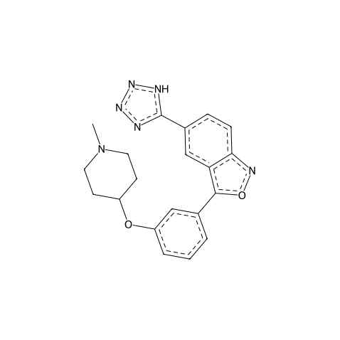 CN1CCC(Oc2cccc(-c3onc4ccc(-c5nnn[nH]5)cc34)c2)CC1